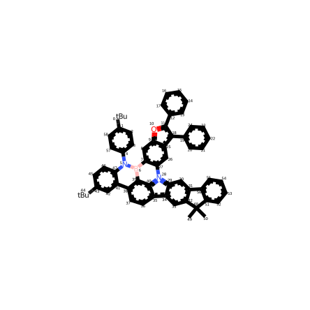 CC(C)(C)c1ccc(N2B3c4cc5oc(-c6ccccc6)c(-c6ccccc6)c5cc4-n4c5cc6c(cc5c5ccc(c3c54)-c3cc(C(C)(C)C)ccc32)C(C)(C)c2ccccc2-6)cc1